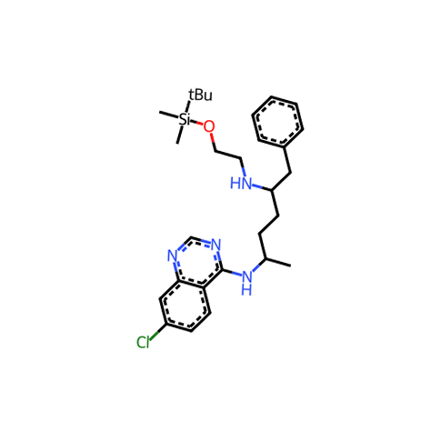 CC(CCC(Cc1ccccc1)NCCO[Si](C)(C)C(C)(C)C)Nc1ncnc2cc(Cl)ccc12